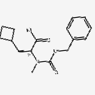 CN(C(=O)OCc1ccccc1)[C@@H](CC1CCC1)C(=O)O